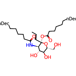 CC=C[C@@]1(OC(=O)CCCCCCCCCCCCCCC)O[C@H](CO)[C@@H](O)[C@H](O)[C@H]1NC(=O)CCCCCCCCCCCCCCC